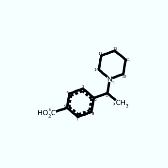 CC(c1ccc(C(=O)O)cc1)N1CC[CH]CC1